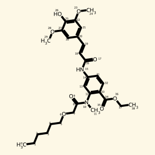 CCCCCCOCC(=O)N(C)c1cc(NC(=O)/C=C/c2cc(OC)c(O)c(OC)c2)ccc1C(=O)OCC